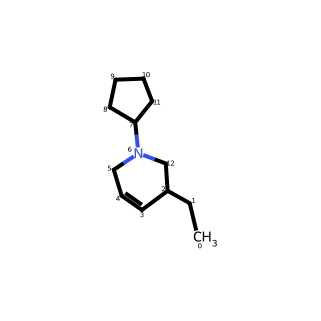 CCC1C=CCN(C2CCCC2)C1